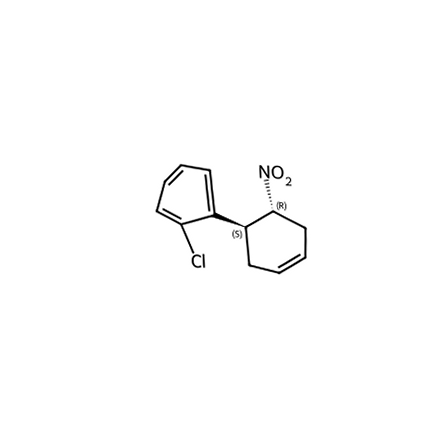 O=[N+]([O-])[C@@H]1CC=CC[C@H]1c1ccccc1Cl